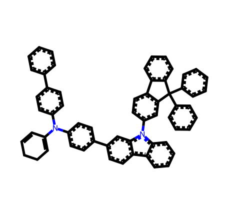 C1=CC(N(c2ccc(-c3ccccc3)cc2)c2ccc(-c3ccc4c5ccccc5n(-c5ccc6c(c5)C(c5ccccc5)(c5ccccc5)c5ccccc5-6)c4c3)cc2)=CCC1